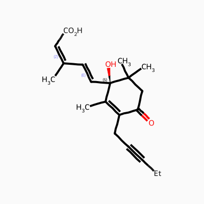 CCC#CCC1=C(C)[C@](O)(/C=C/C(C)=C\C(=O)O)C(C)(C)CC1=O